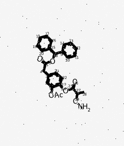 CC(=O)Oc1cc(CC(=O)OC(c2ccccc2)c2ccccc2)ccc1OC(=O)C(C)ON